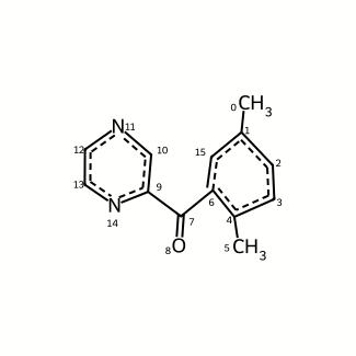 Cc1ccc(C)c(C(=O)c2cnccn2)c1